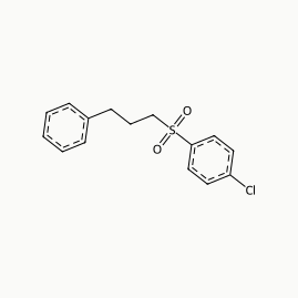 O=S(=O)(CCCc1ccccc1)c1ccc(Cl)cc1